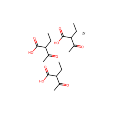 CCC(C(C)=O)C(=O)O.CCC(C(C)=O)C(=O)O.CCC(C(C)=O)C(=O)O.[Zr]